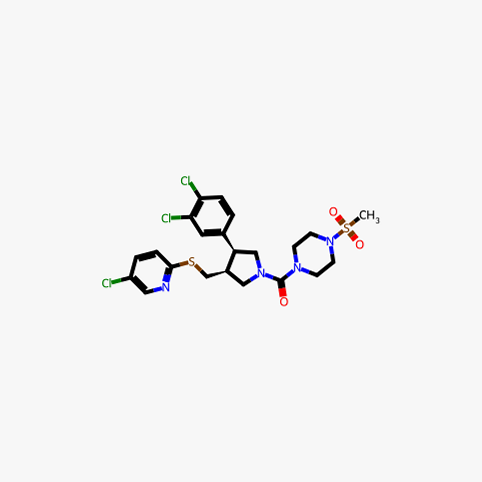 CS(=O)(=O)N1CCN(C(=O)N2C[C@@H](CSc3ccc(Cl)cn3)[C@@H](c3ccc(Cl)c(Cl)c3)C2)CC1